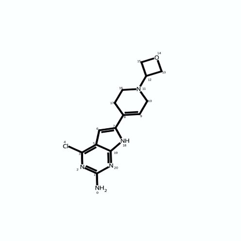 Nc1nc(Cl)c2cc(C3=CCN(C4COC4)CC3)[nH]c2n1